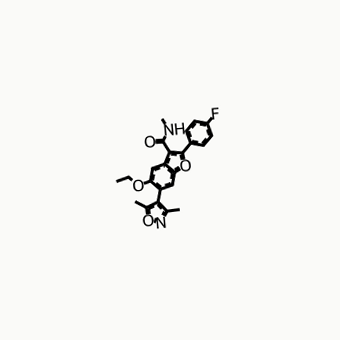 CCOc1cc2c(C(=O)NC)c(-c3ccc(F)cc3)oc2cc1-c1c(C)noc1C